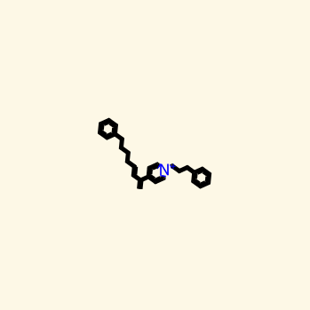 C=C(C=CCCCCc1ccccc1)c1cc[n+](CCCc2ccccc2)cc1